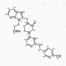 COCCn1c(CN2CCN(c3cccc(OCc4ccc(C#N)cc4)n3)C[C@@H]2C)nc2ccccc21